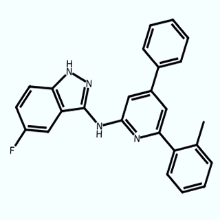 Cc1ccccc1-c1cc(-c2ccccc2)cc(Nc2n[nH]c3ccc(F)cc23)n1